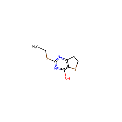 CCSc1nc(O)c2c(n1)CCS2